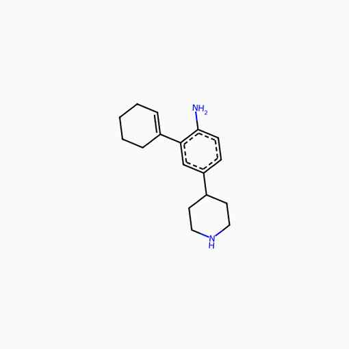 Nc1ccc(C2CCNCC2)cc1C1=CCCCC1